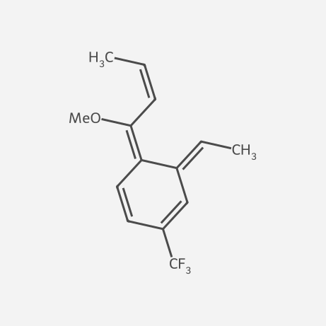 CC=c1cc(C(F)(F)F)cc/c1=C(/C=C\C)OC